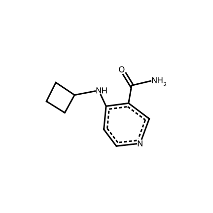 NC(=O)c1cnccc1NC1CCC1